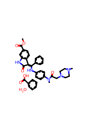 COC(=O)c1ccc2c(c1)NC(=O)/C2=C(\Nc1ccc(N(C)C(=O)CN2CCN(C)CC2)cc1)c1ccccc1.O.O=C(O)c1ccccc1